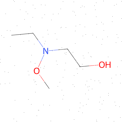 CCN(CCO)OC